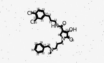 CN(CCCN1CC(C(=O)NCCCc2ccc(Cl)c(Cl)c2)=C(O)C1=O)Cc1ccccc1